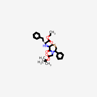 CCOC(=O)[C@@H](CCc1ccccc1)NC1CSCC(c2ccccc2)N(CC(=O)OC(C)(C)C)C1=O